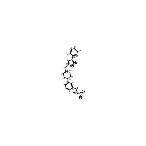 O=[SH](=O)NCc1cccc(C2CCN(Cc3cc(-c4ccccc4)no3)CC2)c1